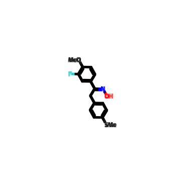 COc1ccc(C(Cc2ccc(SC)cc2)=NO)cc1F